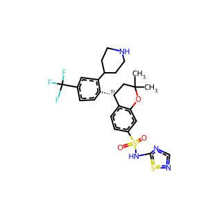 CC1(C)C[C@@H](c2ccc(C(F)(F)F)cc2C2CCNCC2)c2ccc(S(=O)(=O)Nc3ncns3)cc2O1